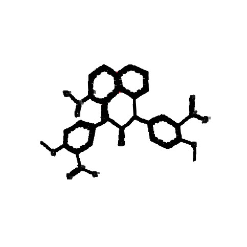 COc1ccc(C(C(=O)C(c2ccc(OC)c([N+](=O)[O-])c2)c2ccccc2[N+](=O)[O-])c2ccccc2[N+](=O)[O-])cc1[N+](=O)[O-]